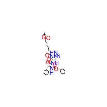 CC(C)(C)OC(=O)CCCCCCC(=O)NC(=O)[C@H](Cc1c[nH]cn1)NC(=O)[C@H](Cc1ccccc1)NC(=O)OCc1ccccc1